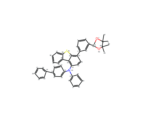 CC1(C)OB(c2cccc(-c3ccc(N(c4ccccc4)c4ccc(-c5ccccc5)cc4)c4c3sc3ccccc34)c2)OC1(C)C